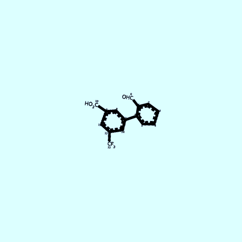 O=Cc1ccccc1-c1cc(C(=O)O)cc(C(F)(F)F)c1